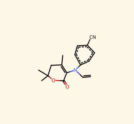 C=CN(C1=C(C)CC(C)(C)OC1=O)c1ccc(C#N)cc1